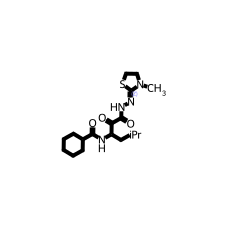 CC(C)CC(NC(=O)C1CCCCC1)C(=O)C(=O)N/N=C1\SCCN1C